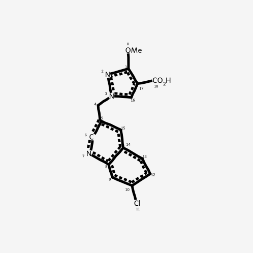 COc1nn(Cc2cnc3cc(Cl)ccc3c2)cc1C(=O)O